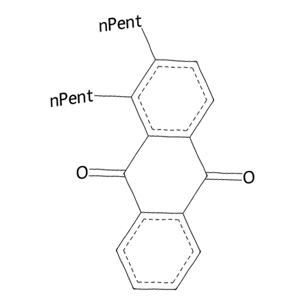 CCCCCc1ccc2c(c1CCCCC)C(=O)c1ccccc1C2=O